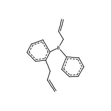 C=CCB(c1ccccc1)c1ccccc1CC=C